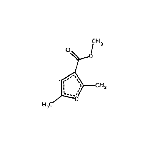 COC(=O)c1[c]c(C)oc1C